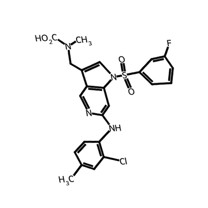 Cc1ccc(Nc2cc3c(cn2)c(CN(C)C(=O)O)cn3S(=O)(=O)c2cccc(F)c2)c(Cl)c1